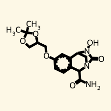 CC1(C)OCC(COc2ccc3c(c2)C2CN(C(=O)N2O)C3C(N)=O)O1